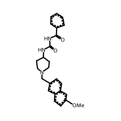 COc1ccc2cc(CN3CCC(NC(=O)NC(=O)c4ccccc4)CC3)ccc2c1